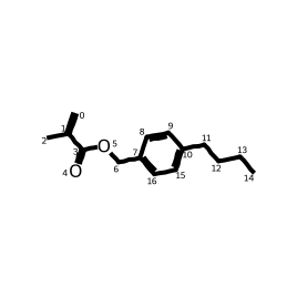 C=C(C)C(=O)OCc1ccc(CCCC)cc1